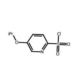 CC(C)Oc1ccc(S(=O)(=O)Cl)nc1